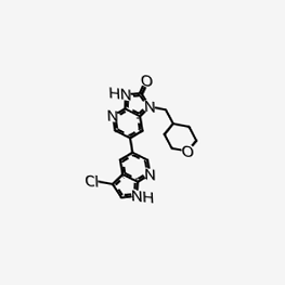 O=c1[nH]c2ncc(-c3cnc4[nH]cc(Cl)c4c3)cc2n1CC1CCOCC1